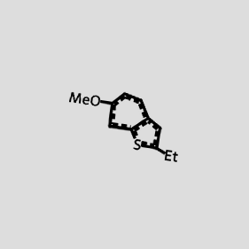 CCc1cc2ccc(OC)cc2s1